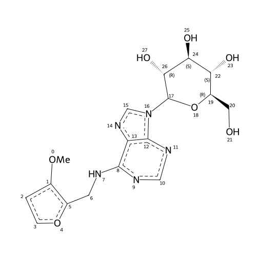 COc1ccoc1CNc1ncnc2c1ncn2C1O[C@H](CO)[C@@H](O)[C@H](O)[C@H]1O